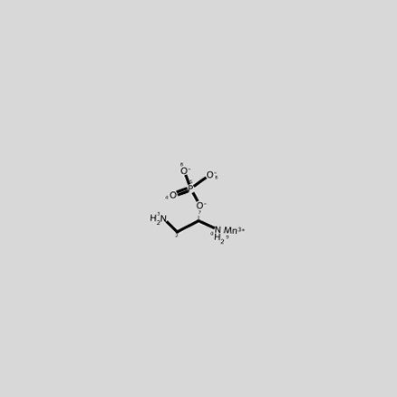 NCCN.O=P([O-])([O-])[O-].[Mn+3]